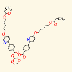 C=CC(=O)OCCCCCOc1ccc(-c2ccc(C(=O)O[C@@H]3OCCO[C@H]3OC(=O)c3ccc(-c4ccc(OCCCCCOC(=O)C=C)cn4)cc3)cc2)nc1